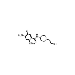 COc1cc(N)c(Cl)cc1C(=O)NC1CCN(CCO)CC1